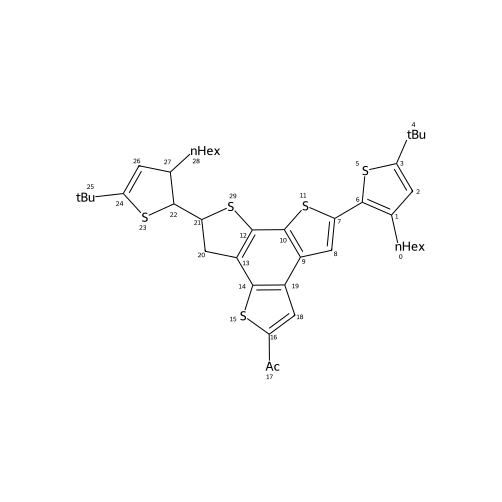 CCCCCCc1cc(C(C)(C)C)sc1-c1cc2c(s1)c1c(c3sc(C(C)=O)cc32)CC(C2SC(C(C)(C)C)=CC2CCCCCC)S1